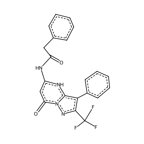 O=C(Cc1ccccc1)Nc1cc(=O)n2nc(C(F)(F)F)c(-c3ccccc3)c2[nH]1